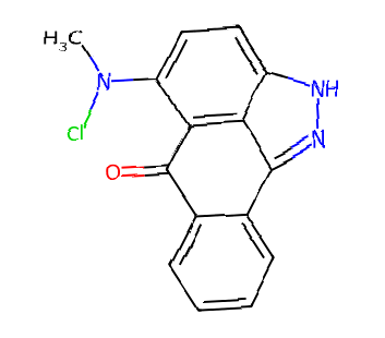 CN(Cl)c1ccc2[nH]nc3c2c1C(=O)c1ccccc1-3